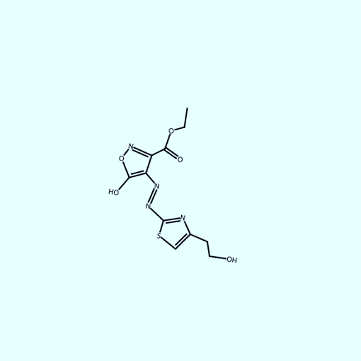 CCOC(=O)c1noc(O)c1N=Nc1nc(CCO)cs1